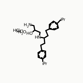 CC(C)c1ccc(CCC(CCc2ccc(C(C)C)cc2)NCC(O)CN)cc1.Cl.Cl.O